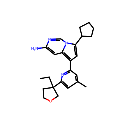 CCC1(c2cc(C)cc(-c3cc(C4CCCC4)n4cnc(N)cc34)n2)CCOC1